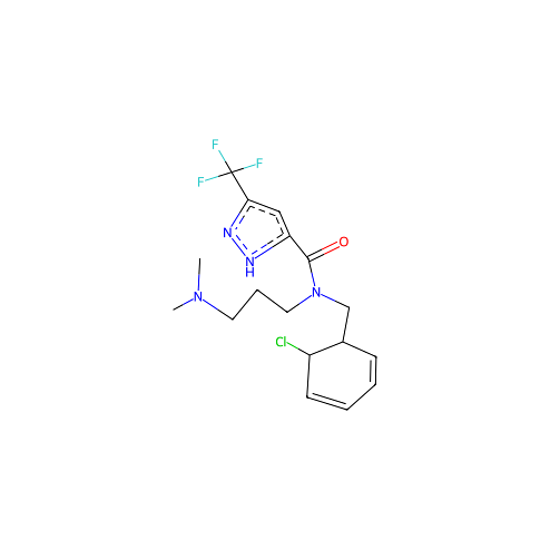 CN(C)CCCN(CC1C=CC=CC1Cl)C(=O)c1cc(C(F)(F)F)n[nH]1